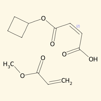 C=CC(=O)OC.O=C(O)/C=C\C(=O)OC1CCC1